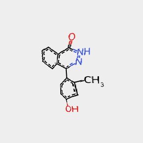 Cc1cc(O)ccc1-c1n[nH]c(=O)c2ccccc12